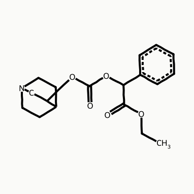 CCOC(=O)C(OC(=O)OC1CN2CCC1CC2)c1ccccc1